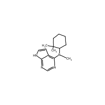 CN(c1ncnc2[nH]ccc12)C1CCCCC1(C)C